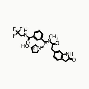 CN(C(=O)Cc1ccc2c(c1)NC(=O)C2)[C@H](CN1CC[C@H](O)C1)c1cccc(C(=O)NCC(F)(F)F)c1